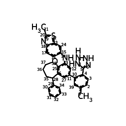 Cc1ccc(C2=NNNN2)c(-c2cc(Nc3ccc4nc(C)sc4c3)c3c(c2)C(c2ccccc2)CCCO3)c1